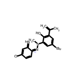 C=C(C)c1cc(C(C)(C)C)cc(N(C)/N=C2/C=CC(Cl)=CC2=N)c1O